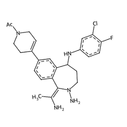 CC(=O)N1CC=C(c2ccc3c(c2)C(Nc2ccc(F)c(Cl)c2)CCN(N)/C3=C(/C)N)CC1